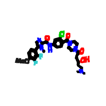 COc1ccc(-c2cnc(C(=O)Nc3ccc(C(=O)N4CCN(C(=O)C[C@H](O)CCN(C)C)CC4)c(Cl)c3)n2C)c(F)c1F